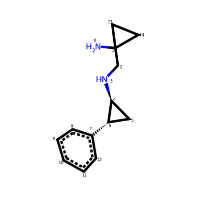 NC1(CN[C@H]2C[C@@H]2c2ccccc2)CC1